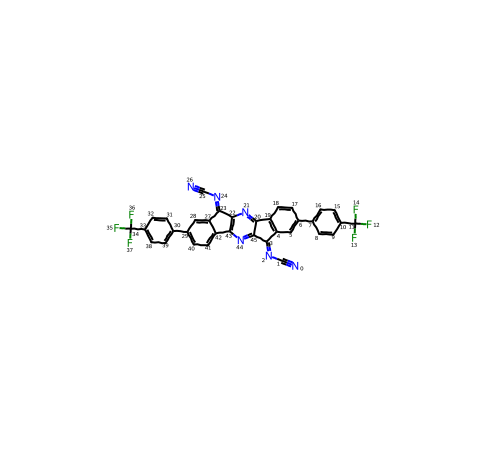 N#C/N=c1\c2cc(-c3ccc(C(F)(F)F)cc3)ccc2c2nc3/c(=N/C#N)c4cc(-c5ccc(C(F)(F)F)cc5)ccc4c3nc12